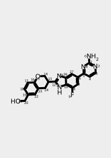 Nc1nccc(-c2cc(F)c3[nH]c(C4COc5ccc(CO)cc5C4)nc3c2)n1